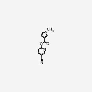 Cn1ccc(C(=O)Oc2ccc(C#N)cn2)c1